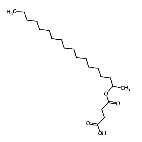 CCCCCCCCCCCCCCCCC(C)OC(=O)CCC(=O)O